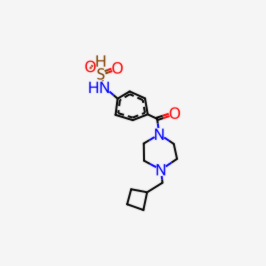 O=C(c1ccc(N[SH](=O)=O)cc1)N1CCN(CC2CCC2)CC1